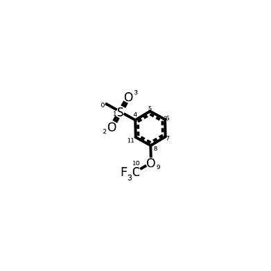 CS(=O)(=O)c1c[c]cc(OC(F)(F)F)c1